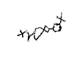 CC(C)(C)OC(=O)N1CCC2(CC1)CC(c1cccc(C(F)(F)F)n1)C2